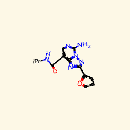 CC(C)NC(=O)c1cnc(N)n2nc(-c3ccco3)nc12